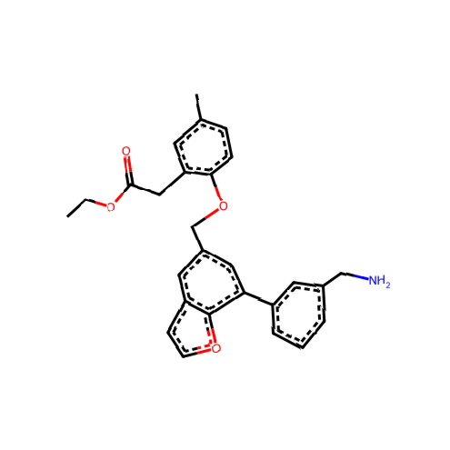 CCOC(=O)Cc1cc(C)ccc1OCc1cc(-c2cccc(CN)c2)c2occc2c1